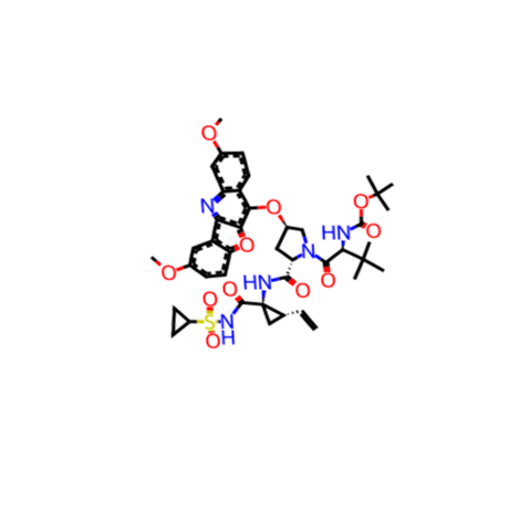 C=C[C@@H]1C[C@]1(NC(=O)[C@@H]1C[C@@H](Oc2c3ccc(OC)cc3nc3c2oc2ccc(OC)cc23)CN1C(=O)[C@@H](NC(=O)OC(C)(C)C)C(C)(C)C)C(=O)NS(=O)(=O)C1CC1